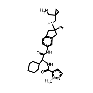 CC(C)C1(NCC2(CN)CC2)Cc2ccc(NC(=O)[C@@H](NC(=O)c3ccnn3C)C3CCCCC3)cc2C1